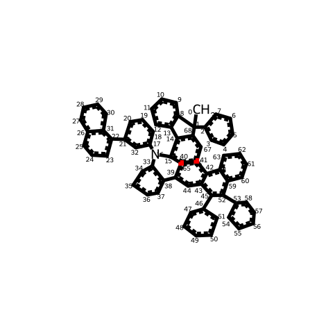 CC1(c2ccccc2)c2ccccc2-c2c(N(c3cccc(-c4cccc5ccccc45)c3)c3ccccc3-c3ccc4c(c3)c(-c3ccccc3)c(-c3ccccc3)c3ccccc34)cccc21